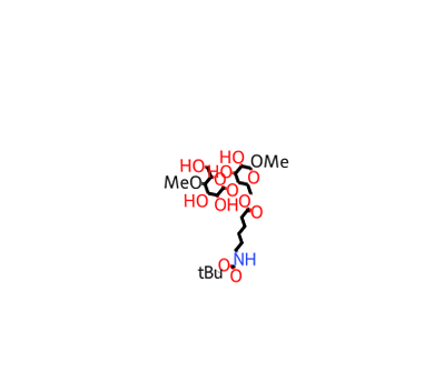 COC1OC(COC(=O)CCCCCNC(=O)OC(C)(C)C)C(OC2OC(CO)C(OC)C(O)C2O)C(O)C1O